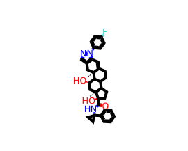 C[C@]12Cc3cnn(-c4ccc(F)cc4)c3C=C1CCC1C2[C@@H](O)C[C@@]2(C)C1CC[C@]2(O)C(=O)NC1(c2ccccc2)CC1